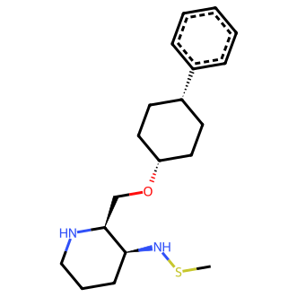 CSN[C@H]1CCCN[C@H]1CO[C@H]1CC[C@@H](c2ccccc2)CC1